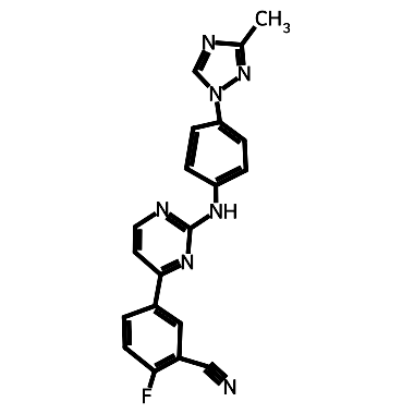 Cc1ncn(-c2ccc(Nc3nccc(-c4ccc(F)c(C#N)c4)n3)cc2)n1